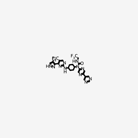 O=C(NCC(F)(F)F)N(c1cnc(-c2cncnc2)cn1)C1CCC(Nc2ncc(C(F)(F)F)c(-c3n[nH]cc3Cl)n2)CC1